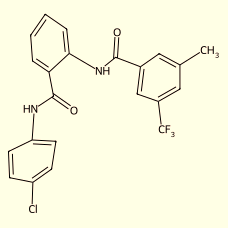 Cc1cc(C(=O)Nc2ccccc2C(=O)Nc2ccc(Cl)cc2)cc(C(F)(F)F)c1